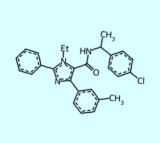 CCn1c(-c2ccccc2)nc(-c2cccc(C)c2)c1C(=O)NC(C)c1ccc(Cl)cc1